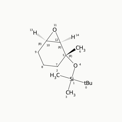 CC(C)(C)[Si](C)(C)O[C@]1(C)CCC[C@H]2O[C@H]21